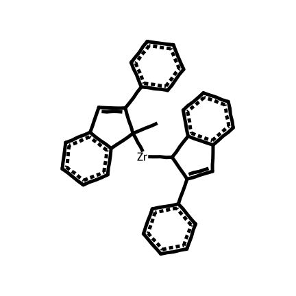 C[C]1([Zr][CH]2C(c3ccccc3)=Cc3ccccc32)C(c2ccccc2)=Cc2ccccc21